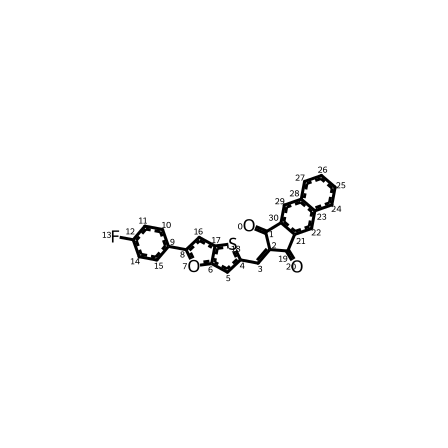 O=C1C(=Cc2cc3oc(-c4ccc(F)cc4)cc3s2)C(=O)c2cc3ccccc3cc21